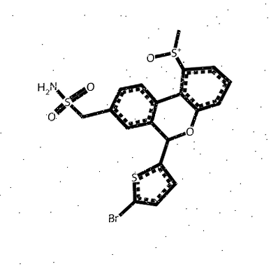 C[S+]([O-])c1cccc2c1-c1ccc(CS(N)(=O)=O)cc1C(c1ccc(Br)s1)O2